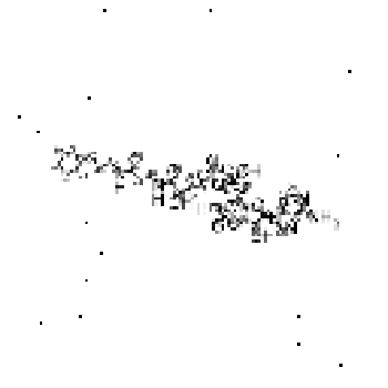 CC(C)(COP(=O)(O)OP(=O)(O)OC[C@H]1O[C@@H](n2cnc3c(N)ncnc32)[C@H](O)[C@@H]1OP(=O)(O)O)[C@@H](O)C(=O)NCCC(=O)NCCSc1ccccc1